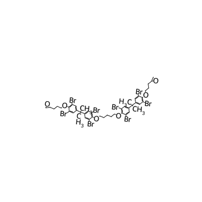 CC(C)(c1cc(Br)c(OCCCCCOc2c(Br)cc(C(C)(C)c3cc(Br)c(OCCCC4CO4)c(Br)c3)cc2Br)c(Br)c1)c1cc(Br)c(OCCCC2CO2)c(Br)c1